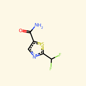 NC(=O)c1cnc(C(F)F)s1